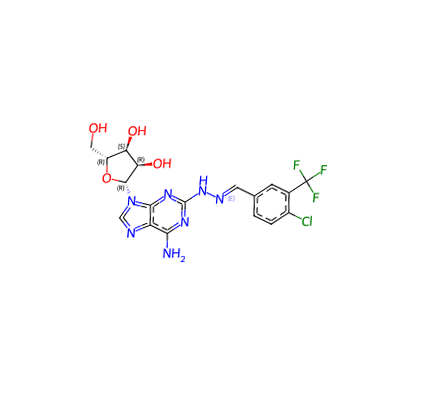 Nc1nc(N/N=C/c2ccc(Cl)c(C(F)(F)F)c2)nc2c1ncn2[C@@H]1O[C@H](CO)[C@@H](O)[C@H]1O